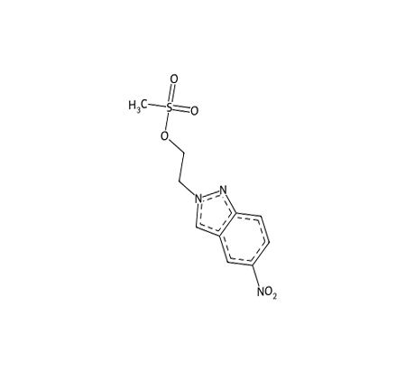 CS(=O)(=O)OCCn1cc2cc([N+](=O)[O-])ccc2n1